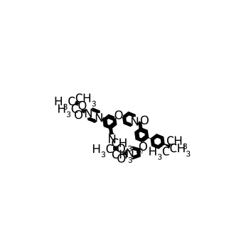 CC(C)(C)OC(=O)N1CCN(c2cc(C#N)cc(OC3CCN(C(=O)c4ccc(O[C@H]5CCN(C(=O)OC(C)(C)C)C5)c([C@H]5CC[C@H](C(C)(C)C)CC5)c4)CC3)c2)CC1